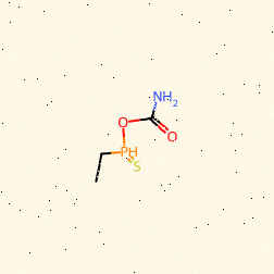 CC[PH](=S)OC(N)=O